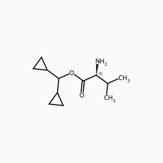 CC(C)[C@H](N)C(=O)OC(C1CC1)C1CC1